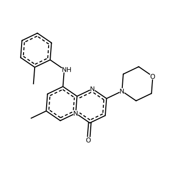 Cc1cc(Nc2ccccc2C)c2nc(N3CCOCC3)cc(=O)n2c1